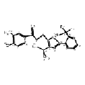 Cc1cc(C(=O)CCc2sc(-c3ccccc3C(F)(F)F)nc2C(C)C)ccc1O